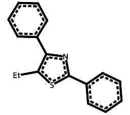 CCc1sc(-c2ccccc2)nc1-c1ccccc1